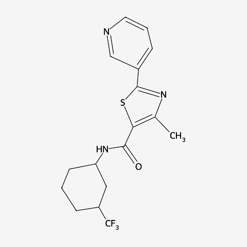 Cc1nc(-c2cccnc2)sc1C(=O)NC1CCCC(C(F)(F)F)C1